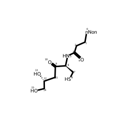 CCCCCCCCCCCC(=O)N[C@@H](CS)C(=O)[CH][C@@H](O)CO